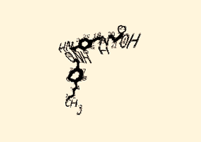 CCCCCc1ccc(C(=O)NC(=N)c2ccc(CNCCC(=O)O)cc2)cc1